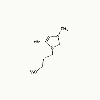 Br.CN1C=CN(CCCO)C1